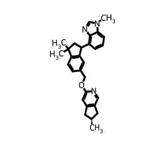 C[C@@H]1Cc2cnc(OCc3ccc4c(c3)C(c3cccc5c3ncn5C)CC4(C)C)cc2C1